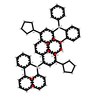 c1ccc(-c2ccccc2N(c2ccccc2)c2cc(C3CCCC3)c3ccc4c(N(c5ccccc5)c5ccccc5-c5ccccc5)cc(C5CCCC5)c5ccc2c3c54)cc1